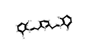 Fc1cccc(F)c1N=CCc1cccc(CC=Nc2c(F)cccc2F)n1